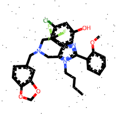 CCCCn1c(-c2ccccc2OC)nc(C(F)(F)F)c1CN(Cc1ccc2c(c1)OCO2)Cc1ccc(O)cc1Cl